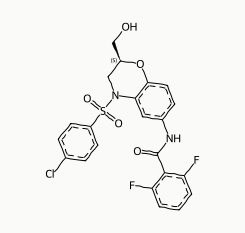 O=C(Nc1ccc2c(c1)N(S(=O)(=O)c1ccc(Cl)cc1)C[C@@H](CO)O2)c1c(F)cccc1F